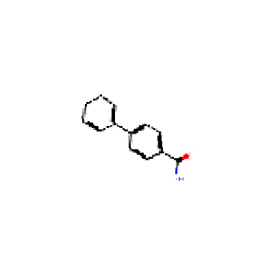 NC(=O)c1ccc(C2=CCCC=C2)cc1